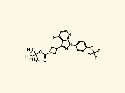 CC(C)(C)OC(=O)N1CC(c2nn(-c3ccc(OC(F)(F)F)cc3)c3nccc(I)c23)C1